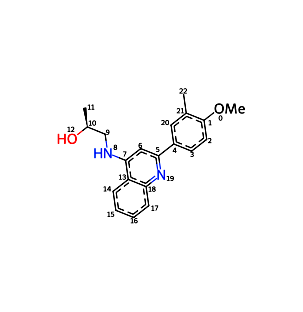 COc1ccc(-c2cc(NC[C@H](C)O)c3ccccc3n2)cc1C